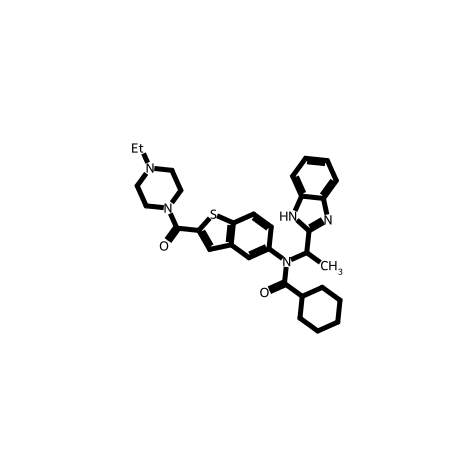 CCN1CCN(C(=O)c2cc3cc(N(C(=O)C4CCCCC4)C(C)c4nc5ccccc5[nH]4)ccc3s2)CC1